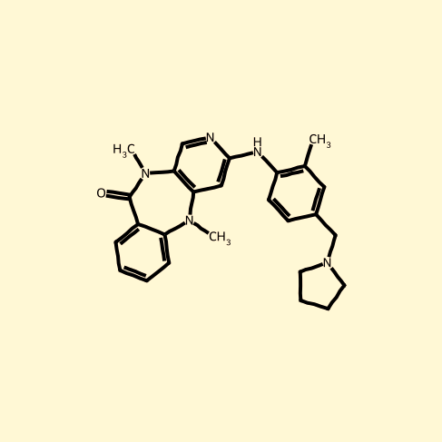 Cc1cc(CN2CCCC2)ccc1Nc1cc2c(cn1)N(C)C(=O)c1ccccc1N2C